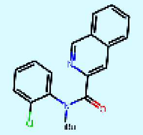 CCC(C)N(C(=O)c1cc2ccccc2cn1)c1ccccc1Cl